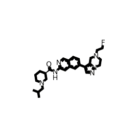 CC(C)CN1CCC[C@@H](C(=O)Nc2cc3cc(-c4cnn5c4CN(CCF)CC5)ccc3cn2)C1